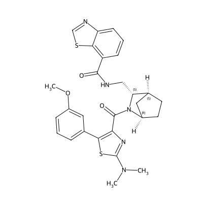 COc1cccc(-c2sc(N(C)C)nc2C(=O)N2[C@@H]3CC[C@@H](C3)[C@H]2CNC(=O)c2cccc3ncsc23)c1